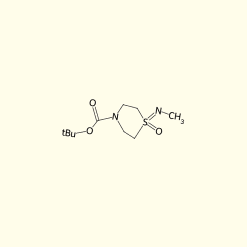 CN=S1(=O)CCN(C(=O)OC(C)(C)C)CC1